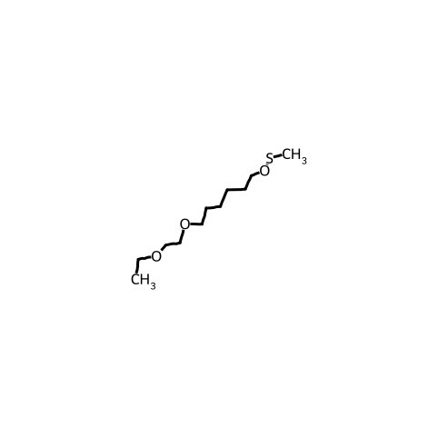 CCOCCOCCCCCCOSC